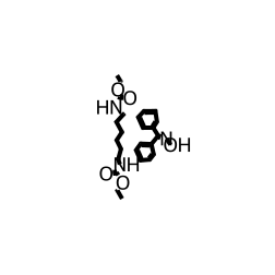 CCOC(=O)NCCCCCCNC(=O)OCC.ON=C(c1ccccc1)c1ccccc1